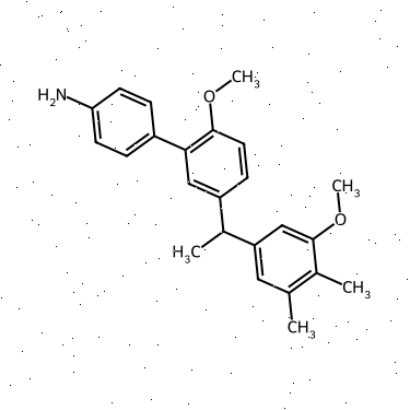 COc1ccc(C(C)c2cc(C)c(C)c(OC)c2)cc1-c1ccc(N)cc1